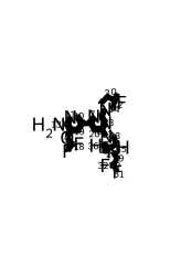 CC1(F)CCN(c2nc(-c3cnc(N)c(OC(F)F)c3)cc(N3C[C@@H]4C[C@H]3CN4CC(F)F)n2)C1